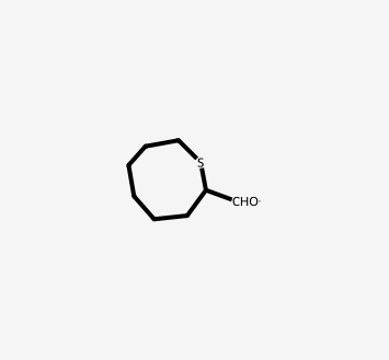 O=[C]C1CCCCCCS1